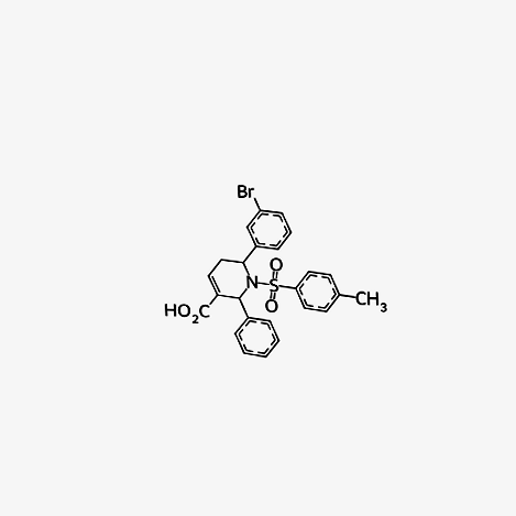 Cc1ccc(S(=O)(=O)N2C(c3cccc(Br)c3)CC=C(C(=O)O)C2c2ccccc2)cc1